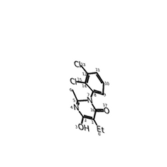 CCc1c(O)nc(C)n(-c2cccc(Cl)c2Cl)c1=O